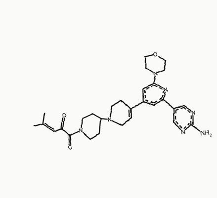 CC(C)=CC(=O)C(=O)N1CCC(N2CC=C(c3cc(-c4cnc(N)nc4)nc(N4CCOCC4)c3)CC2)CC1